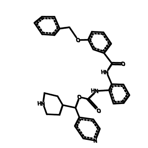 O=C(Nc1ccccc1NC(=O)c1cccc(OCc2ccccc2)c1)OC(c1ccncc1)C1CCNCC1